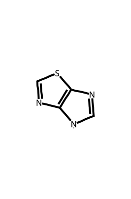 C1=Nc2scnc2[N]1